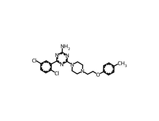 Cc1ccc(OCCN2CCN(c3nc(N)nc(-c4cc(Cl)ccc4Cl)n3)CC2)cc1